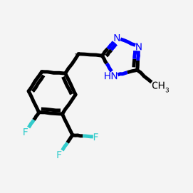 Cc1nnc([CH]c2ccc(F)c(C(F)F)c2)[nH]1